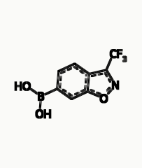 OB(O)c1ccc2c(C(F)(F)F)noc2c1